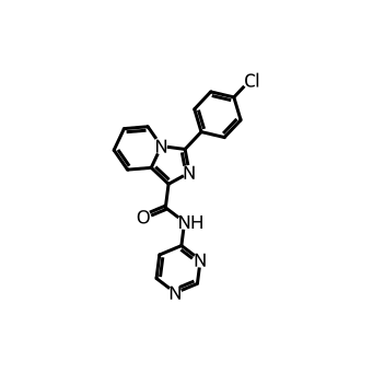 O=C(Nc1ccncn1)c1nc(-c2ccc(Cl)cc2)n2ccccc12